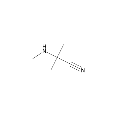 CNC(C)(C)C#N